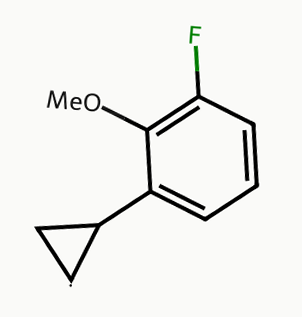 COc1c(F)cccc1C1[CH]C1